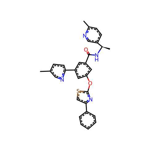 Cc1ccc(-c2cc(Oc3nc(-c4ccccc4)cs3)cc(C(=O)N[C@H](C)c3ccc(C)nc3)c2)nc1